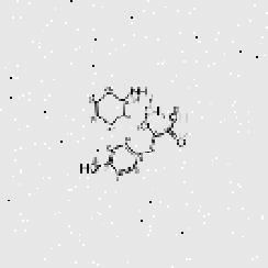 CO/C(=C\c1ccc(O)cc1)C(=O)O.NC1CCCCC1